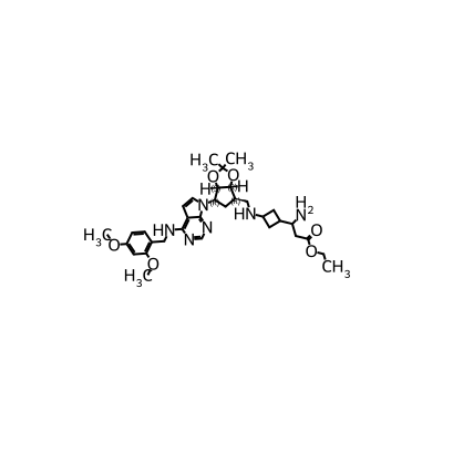 CCOC(=O)CC(N)C1CC(NC[C@H]2C[C@@H](n3ccc4c(NCc5ccc(OC)cc5OC)ncnc43)[C@@H]3OC(C)(C)O[C@H]23)C1